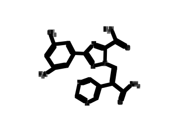 NC(=O)/C(=C/n1nc(-c2cc(C(F)(F)F)cc(C(F)(F)F)c2)nc1C(N)=O)c1cncnc1